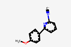 [C-]#[N+]c1cccc(-c2ccc(OC)cc2)n1